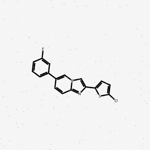 Fc1[c]c(-c2ccc3nc(-c4ccc(Cl)s4)cn3c2)ccc1